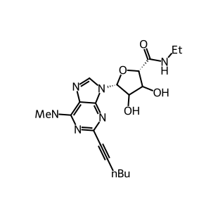 CCCCC#Cc1nc(NC)c2ncn([C@@H]3O[C@H](C(=O)NCC)C(O)C3O)c2n1